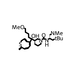 C=C1\C=C/C=C([C@](O)(CCCCOC)[C@@H]2CCCN(C(=O)N[C@H](CNC)CC(C)(C)C)C2)\C=C\CS1